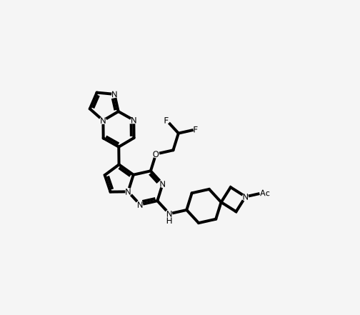 CC(=O)N1CC2(CCC(Nc3nc(OCC(F)F)c4c(-c5cnc6nccn6c5)ccn4n3)CC2)C1